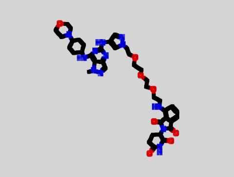 Cn1ncc2nc(Nc3cnn(CCOCCOCCOCCNc4cccc5c4C(=O)N(C4CCC(=O)NC4=O)C5=O)c3)nc(NC3CCC(N4CCOCC4)CC3)c21